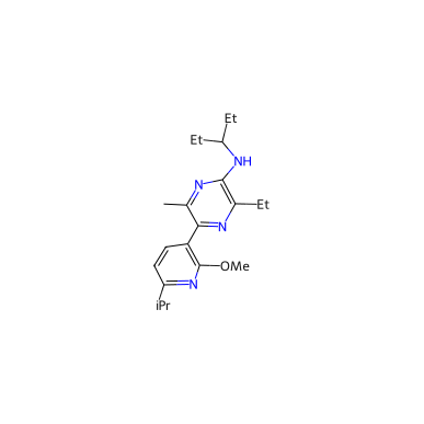 CCc1nc(-c2ccc(C(C)C)nc2OC)c(C)nc1NC(CC)CC